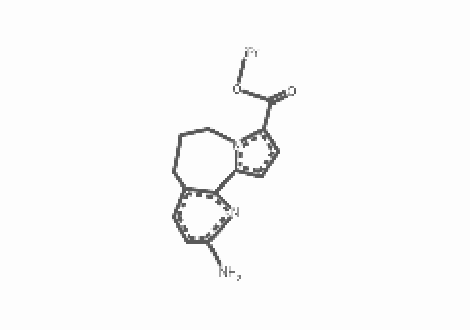 CC(C)OC(=O)c1ccc2n1CCCc1ccc(N)nc1-2